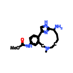 COC(=O)Nc1ccc2c(c1)CN(C)CCCCC(N)c1nc-2c[nH]1